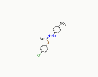 CC(=O)C(=NNc1ccc([N+](=O)[O-])cc1)Sc1ccc(Cl)cc1